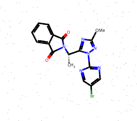 COc1nc([C@H](C)N2C(=O)c3ccccc3C2=O)n(-c2ncc(Br)cn2)n1